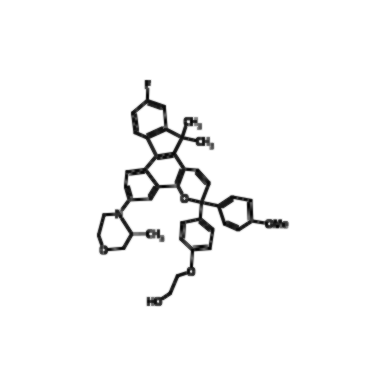 COc1ccc(C2(c3ccc(OCCO)cc3)C=Cc3c4c(c5ccc(N6CCOCC6C)cc5c3O2)-c2ccc(F)cc2C4(C)C)cc1